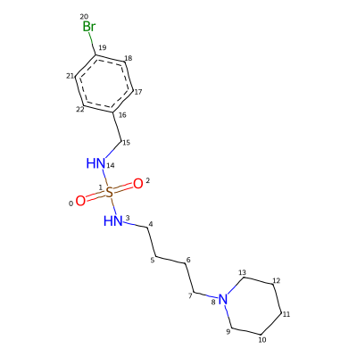 O=S(=O)(NCCCCN1CCCCC1)NCc1ccc(Br)cc1